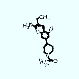 CCc1cc2c(=O)cc(C3CCN(C(C)=O)CC3)cc-2oc1N